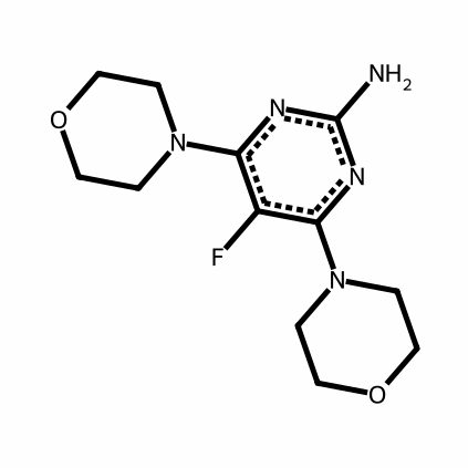 Nc1nc(N2CCOCC2)c(F)c(N2CCOCC2)n1